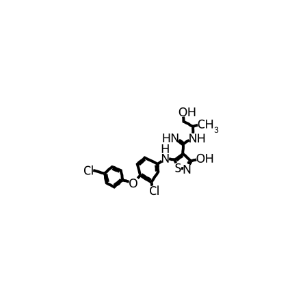 CC(CO)NC(=N)c1c(O)nsc1Nc1ccc(Oc2ccc(Cl)cc2)c(Cl)c1